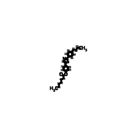 CCCCCCC(=O)Oc1ccc(-c2cnc(-c3ccc(CCCC)cc3)s2)cc1